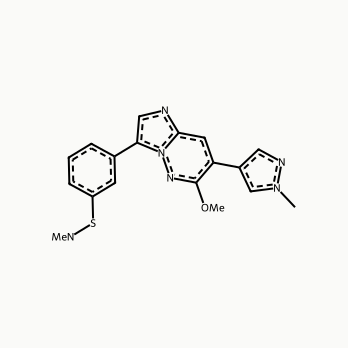 CNSc1cccc(-c2cnc3cc(-c4cnn(C)c4)c(OC)nn23)c1